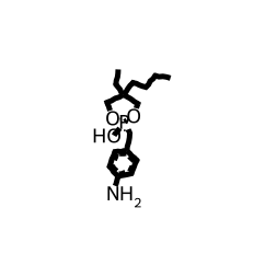 CCCCC1(CC)CO[P](O)(Cc2ccc(N)cc2)OC1